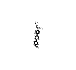 COCCN(C)c1ccc(N2CCN(c3ccc(N)cc3)CC2)cn1